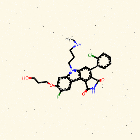 CNCCCn1c2cc(OCCCO)c(F)cc2c2c3c(c(-c4ccccc4Cl)cc21)C(=O)NC3=O